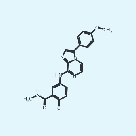 CNC(=O)c1cc(Nc2nccn3c(-c4ccc(OC)cc4)cnc23)ccc1Cl